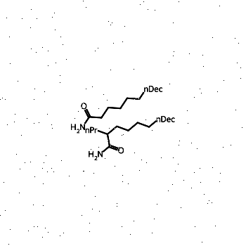 CCCCCCCCCCCCCCC(CCC)C(N)=O.CCCCCCCCCCCCCCCC(N)=O